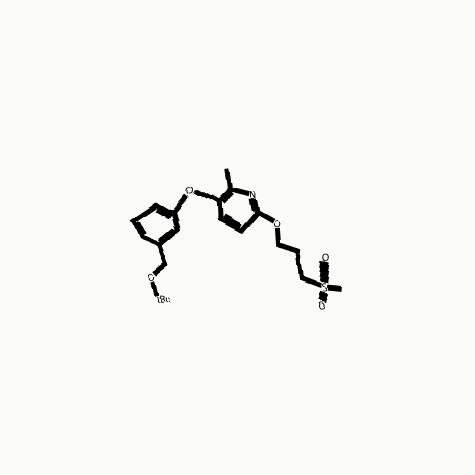 Cc1nc(OCCCS(C)(=O)=O)ccc1Oc1cccc(COC(C)(C)C)c1